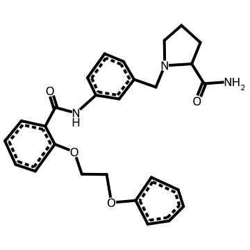 NC(=O)C1CCCN1Cc1cccc(NC(=O)c2ccccc2OCCOc2ccccc2)c1